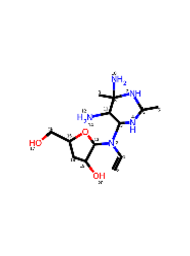 C=CN(C1NC(C)NC(C)(N)C1N)C1OC(CO)CC1O